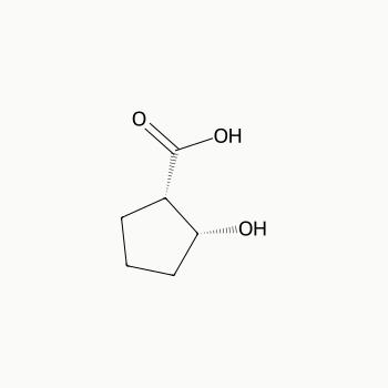 O=C(O)[C@H]1CCC[C@H]1O